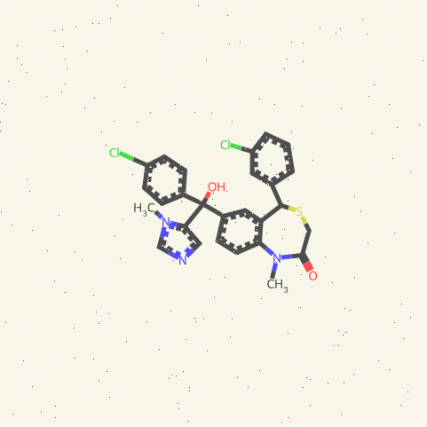 CN1C(=O)CSC(c2cccc(Cl)c2)c2cc(C(O)(c3ccc(Cl)cc3)c3cncn3C)ccc21